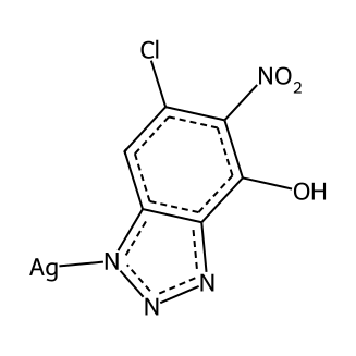 O=[N+]([O-])c1c(Cl)cc2c(nn[n]2[Ag])c1O